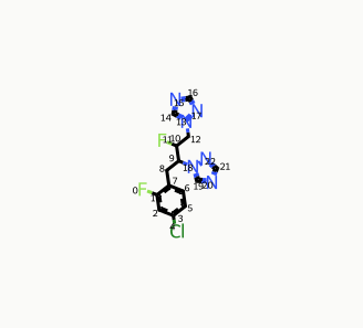 Fc1cc(Cl)ccc1CC(C(F)Cn1cncn1)n1cncn1